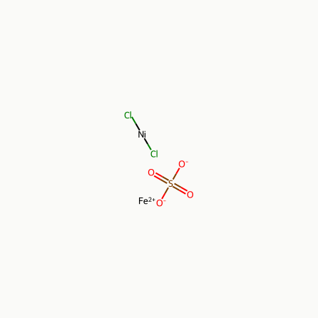 O=S(=O)([O-])[O-].[Cl][Ni][Cl].[Fe+2]